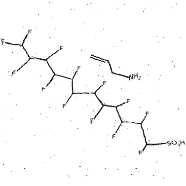 C=CCN.O=S(=O)(O)C(F)C(F)C(F)C(F)C(F)C(F)C(F)C(F)C(F)C(F)C(F)C(F)F